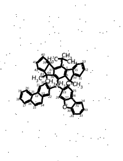 CC(C)(C)c1c2c(c(N(c3ccc4c(ccc5ccccc54)c3)c3ccc4c(c3)oc3ccccc34)c3c1-c1ccccc1C3(C)C)C(C)(C)c1ccccc1-2